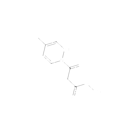 CC(C)(C)OC(=O)CC(=O)N1C=CC(Cl)=CN1